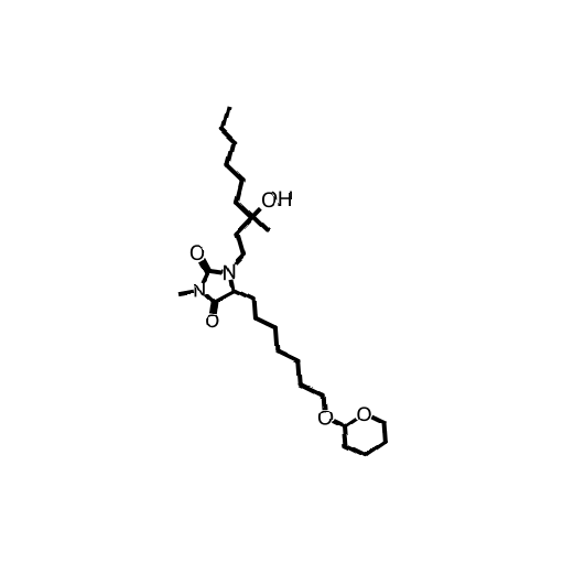 CCCCCCC(C)(O)CCN1C(=O)N(C)C(=O)C1CCCCCCCOC1CCCCO1